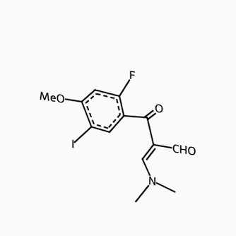 COc1cc(F)c(C(=O)C(C=O)=CN(C)C)cc1I